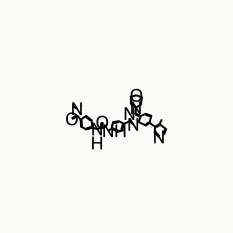 Cc1ccncc1-c1ccc2c(N3CCOCC3)nc(-c3ccc(NC(=O)Nc4ccc(C(=O)N(C)C)cc4)cc3)nc2c1